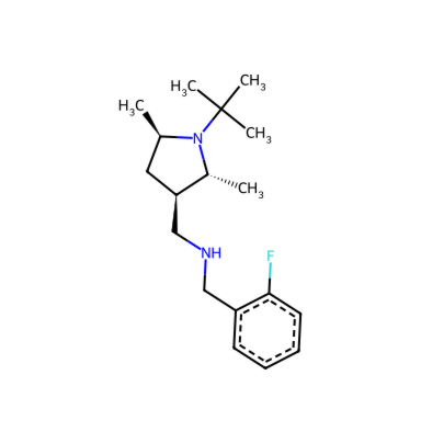 C[C@@H]1C[C@H](CNCc2ccccc2F)[C@@H](C)N1C(C)(C)C